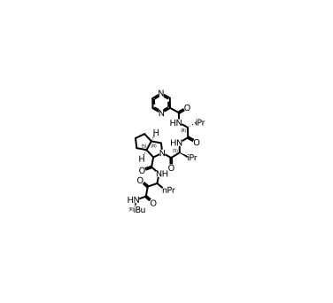 CCCC(NC(=O)C1[C@H]2CCC[C@H]2CN1C(=O)[C@@H](NC(=O)[C@H](NC(=O)c1cnccn1)C(C)C)C(C)C)C(=O)C(=O)N[C@H](C)CC